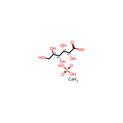 O=C(O)[C@H](O)[C@@H](O)[C@H](O)[C@H](O)CO.O=S(=O)(O)O.[CaH2]